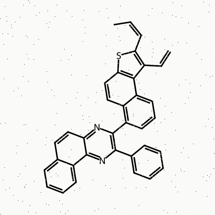 C=Cc1c(/C=C\C)sc2ccc3c(-c4nc5ccc6ccccc6c5nc4-c4ccccc4)cccc3c12